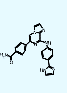 NC(=O)c1ccc(-c2cn3ccnc3c(Nc3ccc(-c4ncc[nH]4)cc3)n2)cc1